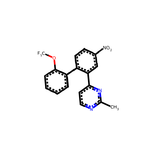 Cc1nccc(-c2cc([N+](=O)[O-])ccc2-c2ccccc2OC(F)(F)F)n1